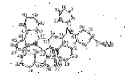 N#Cc1ccc(N(c2ccccc2)c2cc3c(c4ccccc24)C2(c4ccccc4-c4ccccc42)c2c-3c3ccccc3c3ccccc23)cc1